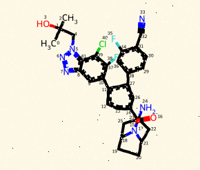 CC(C)(O)Cn1nnc2cc(-c3ccc(C(=O)N4C5CCC4CC(N)C5)cc3-c3ccc(C#N)c(F)c3)c(F)c(Cl)c21